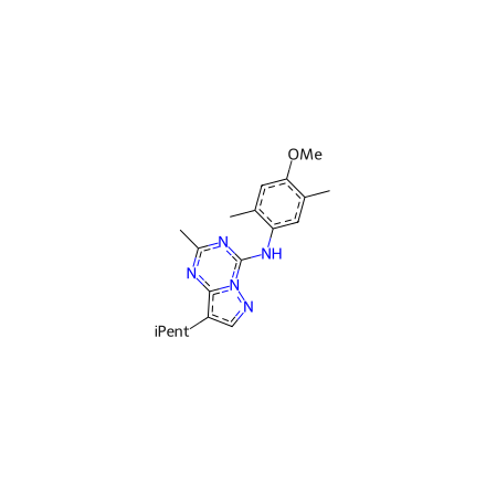 CCCC(C)c1cnn2c(Nc3cc(C)c(OC)cc3C)nc(C)nc12